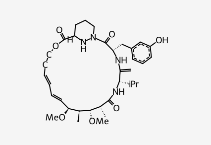 C=C1N[C@@H](Cc2cccc(O)c2)C(=O)N2CCC[C@H](N2)C(=O)OCC/C=C/C=C/[C@H](OC)[C@H](C)[C@@H](OC)[C@@H](C)C(=O)N[C@H]1C(C)C